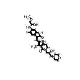 COCC(O)Nc1cc2c(cc1F)/C(=C/c1[nH]c3c(c1C)C(=O)N(C[C@@H](O)CN1CCOCC1)CC3)C(=O)N2